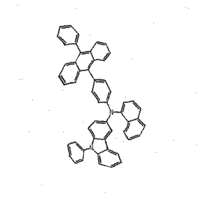 c1ccc(-c2c3ccccc3c(-c3ccc(N(c4ccc5c(c4)c4ccccc4n5-c4ccccc4)c4cccc5ccccc45)cc3)c3ccccc23)cc1